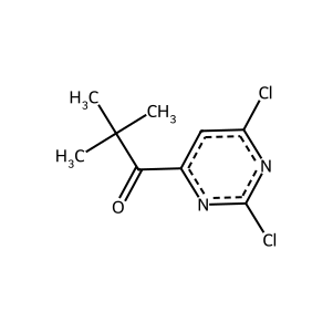 CC(C)(C)C(=O)c1cc(Cl)nc(Cl)n1